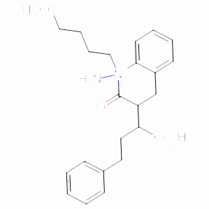 N[N+]1(CCCCC(=O)O)C(=O)C(C(CCc2ccccc2)C(=O)O)Cc2ccccc21